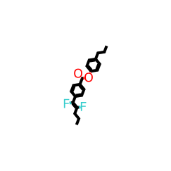 CCC/C(F)=C(\F)c1ccc(C(=O)Oc2ccc(CCC)cc2)cc1